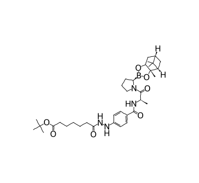 C[C@@H](NC(=O)c1ccc(NNC(=O)CCCCCC(=O)OC(C)(C)C)cc1)C(=O)N1CCC[C@H]1B1OC2C[C@@H]3C[C@@H](C3(C)C)[C@]2(C)O1